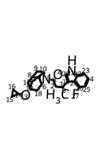 CC(CC(=O)N1C2CC3CC1CC(OC1CC1)(C3)C2)c1c[nH]c2cccc(F)c12